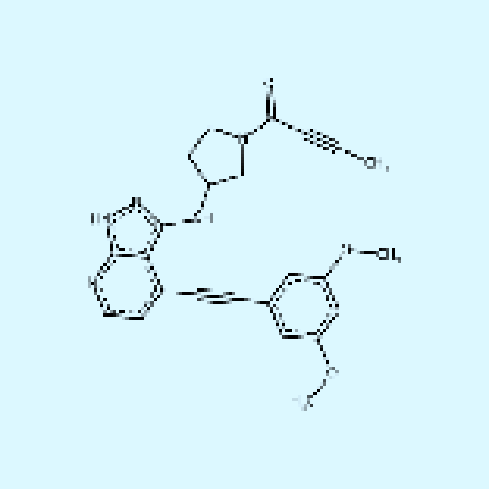 CC#CC(=O)N1CCC(Nc2n[nH]c3nccc(C#Cc4cc(OC)cc(OC)c4)c23)C1